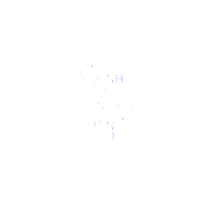 Cc1ccc2[nH]cc(/C=C3/C(=O)Nc4ccccc43)c2c1